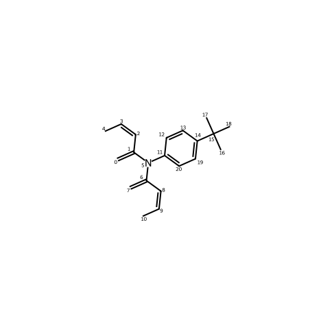 C=C(/C=C\C)N(C(=C)/C=C\C)c1ccc(C(C)(C)C)cc1